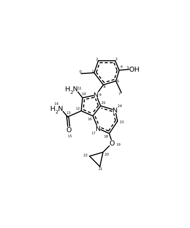 Cc1ccc(O)c(C)c1-n1c(N)c(C(N)=O)c2nc(OC3CC3)cnc21